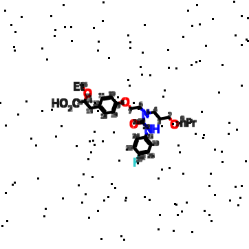 CCCOCCCN(CCOc1ccc(CC(OCC)C(=O)O)cc1)C(=O)Nc1ccc(F)cc1